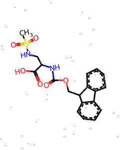 CS(=O)(=O)NCC(NC(=O)OCC1c2ccccc2-c2ccccc21)C(=O)O